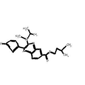 CC(C)CCSC(=O)c1ccc2nc(-c3ccc(F)cc3)c(N(C)C(C)C)nc2c1